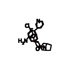 Nc1cc(Cl)c(-c2cccnc2)cc1C=CC(=O)N1C2CCC1CN(Cc1ccc(F)cc1)C2